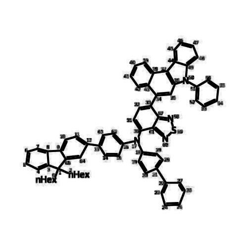 CCCCCCC1(CCCCCC)c2ccccc2-c2ccc(-c3ccc(N(c4ccc(-c5ccccc5)cc4)c4ccc(-c5cc6c(c7ccccc57)c5ccccc5n6-c5ccccc5)c5nsnc45)cc3)cc21